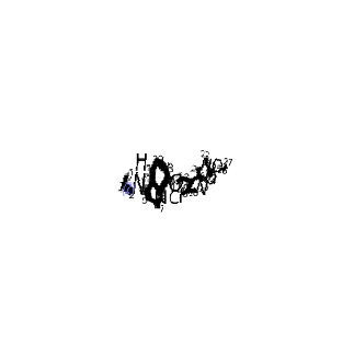 C/C=C\Nc1cc(C)nc2c(OCc3c(Cl)cncc3CN(C)C(=O)OCC)cccc12